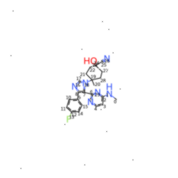 CNc1ccnc(-c2c(-c3ccc(F)cc3)ncn2C2(C)CCC(O)(C#N)CC2)n1